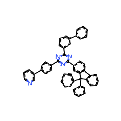 c1ccc(-c2cccc(-c3nc(-c4ccc(-c5cccnc5)cc4)nc(-c4ccc5c(c4)C(c4ccccc4)(c4ccccc4)c4ccccc4-5)n3)c2)cc1